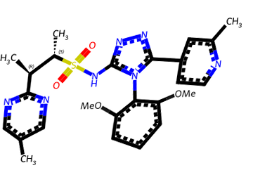 COc1cccc(OC)c1-n1c(NS(=O)(=O)[C@@H](C)[C@H](C)c2ncc(C)cn2)nnc1-c1ccnc(C)c1